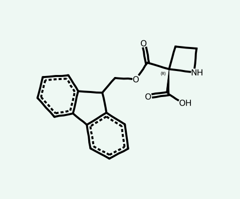 O=C(O)[C@@]1(C(=O)OCC2c3ccccc3-c3ccccc32)CCN1